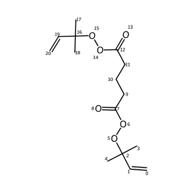 C=CC(C)(C)OOC(=O)CCCC(=O)OOC(C)(C)C=C